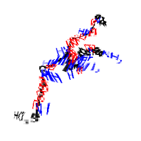 CC(C)[C@H](NC(=O)[C@@H](CCCCNC(=O)COC1CCCCC/C(NCCOCCOCCOCCOCCC(=O)NCCS(=O)(=O)O)=C\1N=N)NC(=O)CCOCCOCCOCCOCCNC(=O)CCC(=O)N1Cc2ccccc2C#Cc2ccccc21)C(=O)N[C@@H](CCCNC(N)=O)C(=O)Nc1ccc2c(c1)[C@@]1(C)CCC[C@](C)(C(=O)NC(=O)[C@@]3(C)CCC[C@]4(C)c5cc(N)ccc5CC[C@@H]34)C1CC2